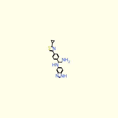 NCC(Nc1ccc2[nH]cnc2c1)c1ccc(-c2csc(C3CC3)n2)cc1